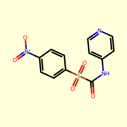 O=C(Nc1ccncc1)S(=O)(=O)c1ccc([N+](=O)[O-])cc1